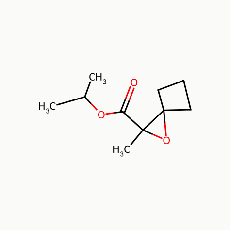 CC(C)OC(=O)C1(C)OC12CCC2